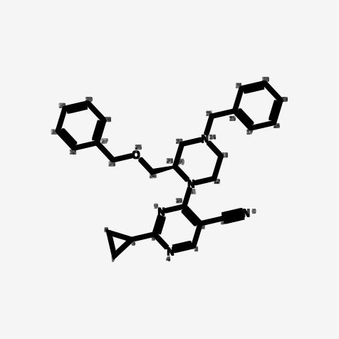 N#Cc1cnc(C2CC2)nc1N1CCN(Cc2ccccc2)C[C@@H]1COCc1ccccc1